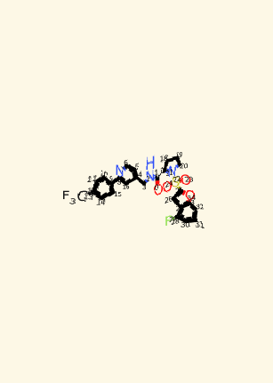 O=C(NCc1ccnc(-c2ccc(C(F)(F)F)cc2)c1)[C@@H]1CCCN1S(=O)(=O)c1cc2c(F)cccc2o1